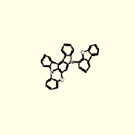 c1ccc2c(c1)Oc1cc3c(c4ccccc4n3-c3cccc4c3oc3ccccc34)c3c4ccccc4n-2c13